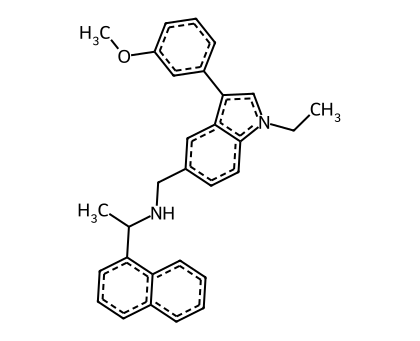 CCn1cc(-c2cccc(OC)c2)c2cc(CNC(C)c3cccc4ccccc34)ccc21